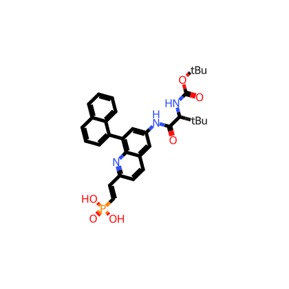 CC(C)(C)OC(=O)NC(C(=O)Nc1cc(-c2cccc3ccccc23)c2nc(/C=C/P(=O)(O)O)ccc2c1)C(C)(C)C